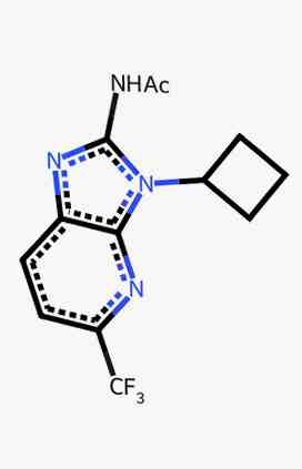 CC(=O)Nc1nc2ccc(C(F)(F)F)nc2n1C1CCC1